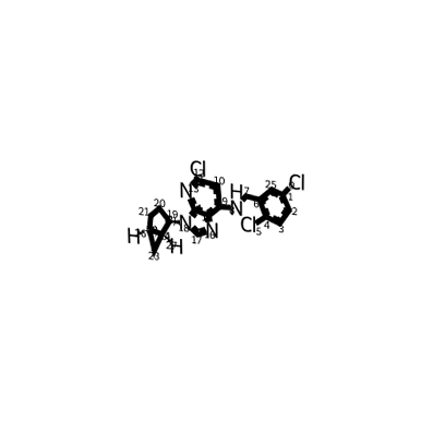 Clc1ccc(Cl)c(CNc2cc(Cl)nc3c2ncn3[C@@H]2CC[C@@H]3C[C@@H]32)c1